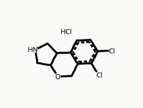 Cl.Clc1ccc2c(c1Cl)COC1CNCC21